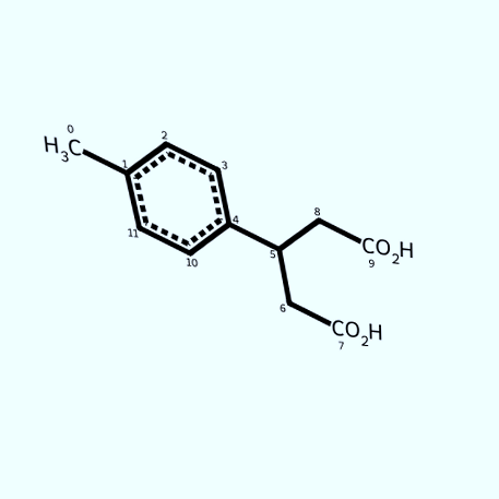 Cc1ccc(C(CC(=O)O)CC(=O)O)cc1